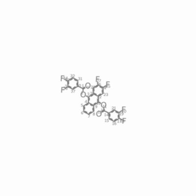 O=C(Oc1c2ccccc2c(OC(=O)c2ccc(F)c(F)c2)c2cc(F)c(F)cc12)c1ccc(F)c(F)c1